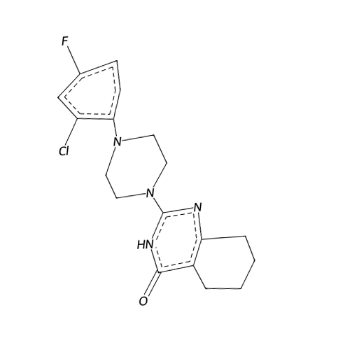 O=c1[nH]c(N2CCN(c3ccc(F)cc3Cl)CC2)nc2c1CCCC2